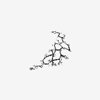 CC[C@H]1C(=O)C2C3CC[C@H]([C@H](C)CCO)[C@@]3(C)CCC2[C@@]2(C)CC[C@@H](OSC(C)(C)C)C[C@@H]12